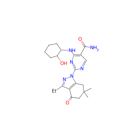 CCc1nn(-c2ncc(C(N)=O)c(NC3CCCCC3O)n2)c2c1C(=O)CC(C)(C)C2